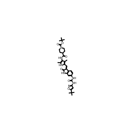 Cc1[nH]c(/C=C2\C(=O)Nc3cc(NC(=O)Nc4cc(C(C)(C)C)on4)ccc32)c(C)c1NC(=O)C1CCN(C(=O)OC(C)(C)C)CC1